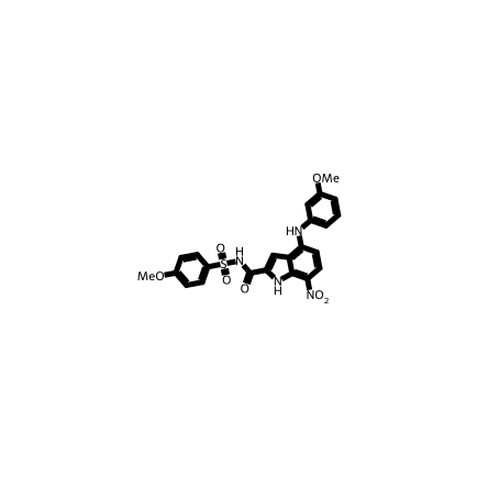 COc1ccc(S(=O)(=O)NC(=O)c2cc3c(Nc4cccc(OC)c4)ccc([N+](=O)[O-])c3[nH]2)cc1